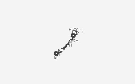 CC1(C)OCc2cc([C@H](O)CNCCCCCCOCC(F)(F)c3cccc(Br)c3)ccc2O1